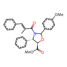 COC(=O)[C@@H]1OC(c2ccc(OC)cc2)N(C(=O)C(C)=Cc2ccccc2)[C@H]1c1ccccc1